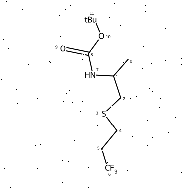 CC(CSCCC(F)(F)F)NC(=O)OC(C)(C)C